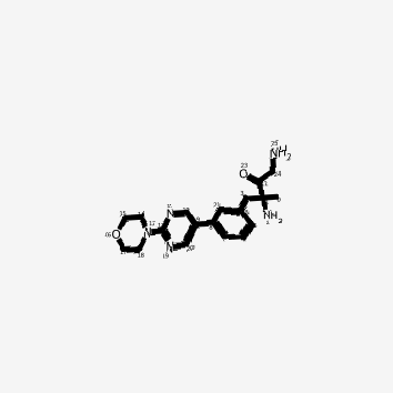 CC(N)(Cc1cccc(-c2cnc(N3CCOCC3)nc2)c1)C(=O)CN